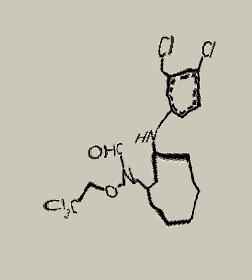 O=CN(OCC(Cl)(Cl)Cl)C1CCCCCC1Nc1ccc(Cl)c(Cl)c1